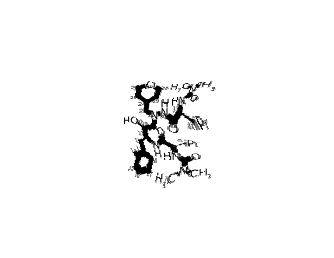 CC(C)[C@H](NC(=O)N(C)C)C(=O)N[C@@H](Cc1ccccc1)[C@@H](O)CN(CC1CCOCC1)NC(=O)[C@@H](NC(=O)N(C)C)C(C)C